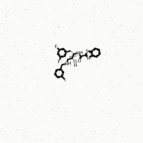 O=C(N[C@@H](Cc1cc(F)cc(F)c1)[C@H](O)CNCc1cccc(I)c1)c1nc2ccccc2s1